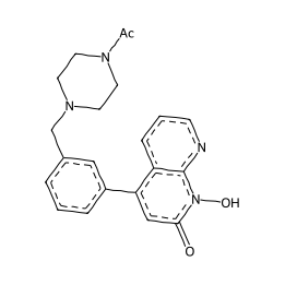 CC(=O)N1CCN(Cc2cccc(-c3cc(=O)n(O)c4ncccc34)c2)CC1